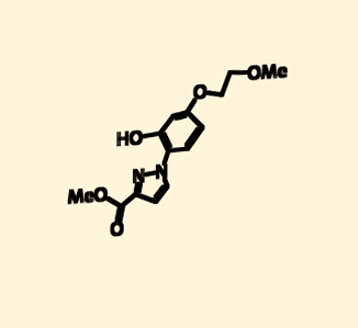 COCCOc1ccc(-n2ccc(C(=O)OC)n2)c(O)c1